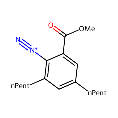 CCCCCc1cc(CCCCC)c([N+]#N)c(C(=O)OC)c1